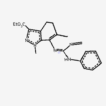 C=N/C(=N\C1=C(C)CCc2c(C(=O)OCC)nn(C)c21)Nc1ccccc1